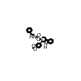 O=C(NCCc1ccccc1)ON1CCc2c([nH]c3ccccc23)[C@H]1c1ccc2c(c1)OCO2